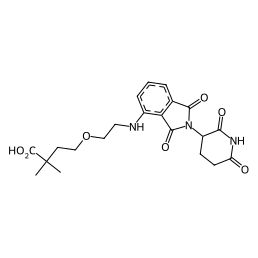 CC(C)(CCOCCNc1cccc2c1C(=O)N(C1CCC(=O)NC1=O)C2=O)C(=O)O